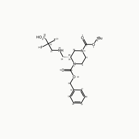 CC(C)(C)OC(=O)N1CCN(C(=O)OCc2ccccc2)[C@H](CNCC(F)(F)C(=O)O)C1